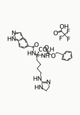 O=C(N[C@](CCCCNC1=NCCN1)(NC(=O)c1ccc2[nH]ncc2c1)C(=O)O)OCc1ccccc1.O=C(O)C(F)(F)F